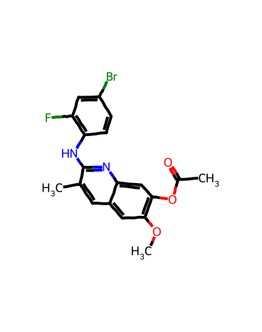 COc1cc2cc(C)c(Nc3ccc(Br)cc3F)nc2cc1OC(C)=O